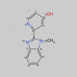 Cn1c(-c2cc(O)ccn2)nc2ccccc21